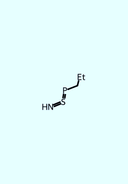 CCCP=S=N